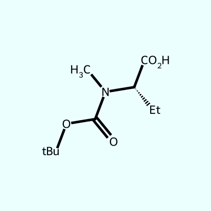 CC[C@@H](C(=O)O)N(C)C(=O)OC(C)(C)C